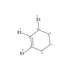 CCC1=C(CC)C(CC)CCC1